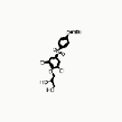 CCCCOc1ccc(S(=O)(=O)c2cc(Cl)c(OC[C@H](O)CO)c(Cl)c2)cc1